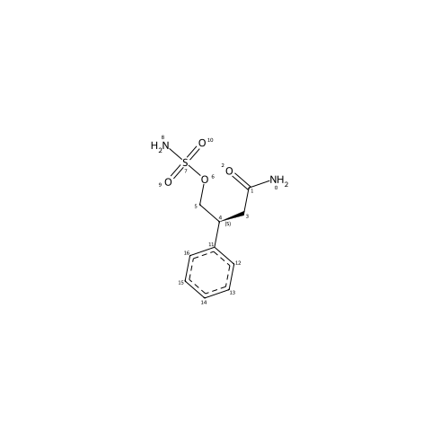 NC(=O)C[C@H](COS(N)(=O)=O)c1ccccc1